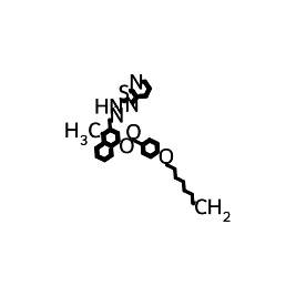 C=CCCCCCCOc1ccc(C(=O)Oc2cc(/C=N/Nc3nc4cccnc4s3)c(C)c3ccccc23)cc1